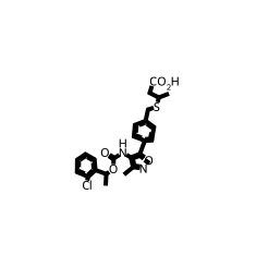 Cc1noc(-c2ccc(CSC(C)CC(=O)O)cc2)c1NC(=O)OC(C)c1ccccc1Cl